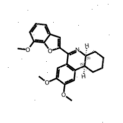 COc1cc2c(cc1OC)[C@@H]1CCCC[C@@H]1N=C2c1cc2cccc(OC)c2o1